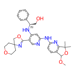 COC1OC(C)(C)c2nc(Nc3cc(N[C@H](CO)c4ccccc4)c(C4=NC5(CCOCC5)CO4)cn3)ccc21